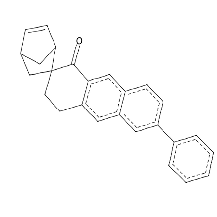 O=C1c2cc3ccc(-c4ccccc4)cc3cc2CCC12CC1C=CC2C1